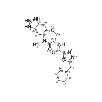 CN1C(=O)[C@@H](NC(=O)c2nnc(Cc3ccccc3)o2)COc2cc3c(cc21)NNN3